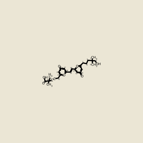 CC(C)(CO)CCCc1cc(=O)cc(/C=C/c2cc(=O)cc(CCCC(C)(C)C(=O)O)o2)o1